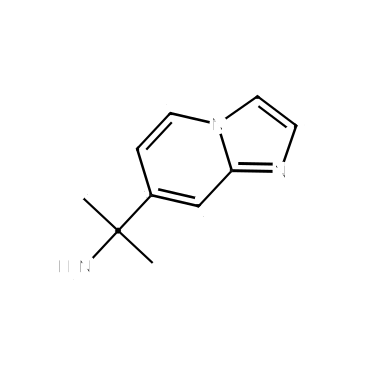 CC(C)(N)c1ccn2ccnc2c1